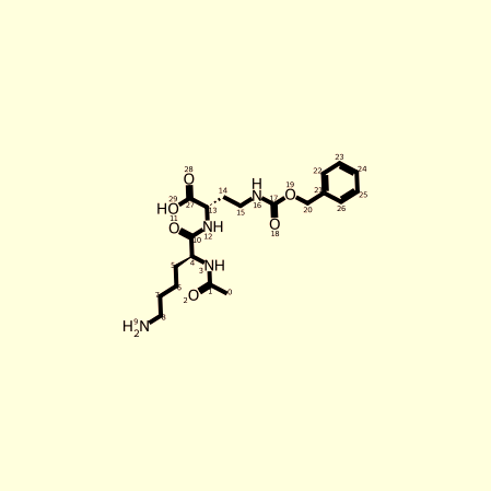 CC(=O)N[C@@H](CCCCN)C(=O)N[C@@H](CCNC(=O)OCc1ccccc1)C(=O)O